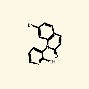 Cc1ncccc1-n1c(=O)ccc2ccc(Br)cc21